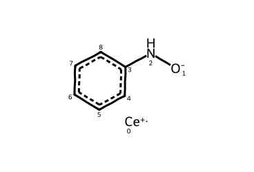 [Ce+].[O-]Nc1ccccc1